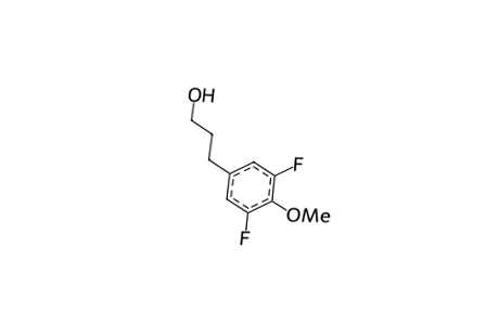 COc1c(F)cc(CCCO)cc1F